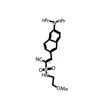 CCCN(CCC)c1ccc2cc(/C=C(\C#N)S(=O)(=O)NCCOC)ccc2c1